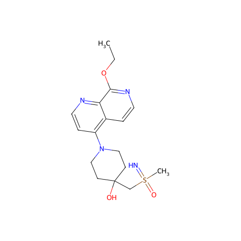 CCOc1nccc2c(N3CCC(O)(CS(C)(=N)=O)CC3)ccnc12